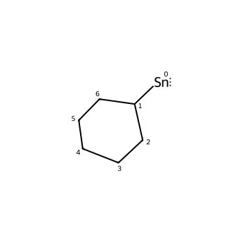 [Sn][CH]1CCCCC1